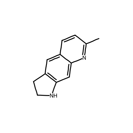 Cc1ccc2cc3c(cc2n1)NCC3